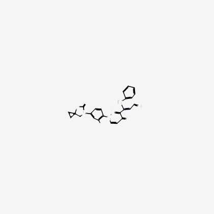 N=C/C=C(\Nc1ccccc1)c1nn(-c2ccc(N3CC4(CC4)OC3=O)cc2F)ccc1=O